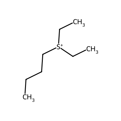 CCCC[S+](CC)CC